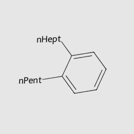 CCCCCCCc1ccccc1CCCCC